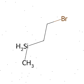 C[SiH2]CCBr